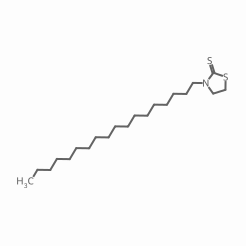 CCCCCCCCCCCCCCCCCCN1CCSC1=S